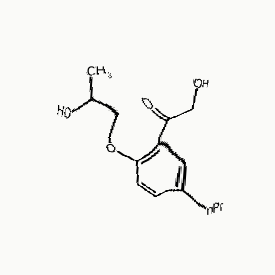 CCCc1ccc(OCC(C)O)c(C(=O)CO)c1